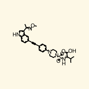 CON=C(C)c1c[nH]c2ccc(C#Cc3ccc(N4CCN(S(=O)(=O)N[C@@H](C(=O)O)C(C)C)CC4)cc3)cc12